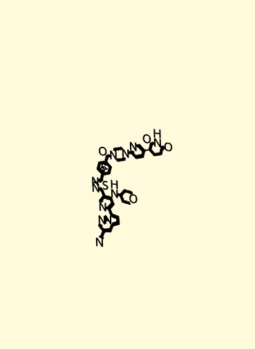 N#Cc1cnn2c(-c3cc(NC4CCOCC4)c(-c4nnc(C56CCC(C(=O)N7CCN(c8ccc([C@@H]9CCC(=O)NC9=O)cn8)CC7)(CC5)CC6)s4)cn3)ccc2c1